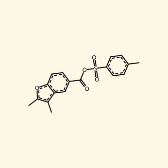 Cc1ccc(S(=O)(=O)OC(=O)c2ccc3oc(C)c(C)c3c2)cc1